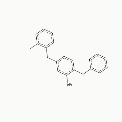 CCCc1cc(Cc2ccccc2C)ccc1Cc1ccccc1